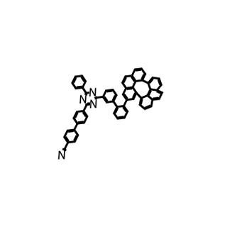 N#Cc1ccc(-c2ccc(-c3nc(-c4ccccc4)nc(-c4cccc(-c5ccccc5-c5cc6ccc7cccc8c9cccc%10ccc%11cccc(c(c5)c6c78)c%11c%109)c4)n3)cc2)cc1